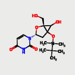 CC(C)(C)[Si](C)(C)OC12C[C@H](n3ccc(=O)[nH]c3=O)O[C@]1(CO)C2O